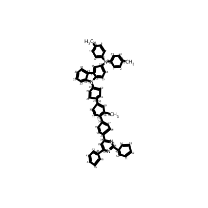 Cc1ccc(N(c2ccc(C)cc2)c2ccc3c(c2)c2ccccc2n3-c2ccc(-c3ccc(-c4ccc(-c5cc(-c6ccccc6)nc(-c6ccccc6)n5)cc4)c(C)c3)cc2)cc1